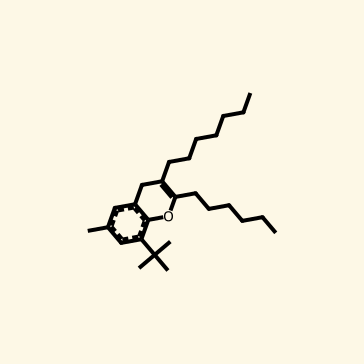 CCCCCCCC1=C(CCCCCC)Oc2c(cc(C)cc2C(C)(C)C)C1